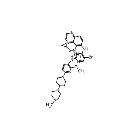 COc1nc(N2CCC(N3CCN(C)CC3)CC2)ccc1Nc1ncc(Br)c(Nc2ccc3nccnc3c2N(C)SC2CC2)n1